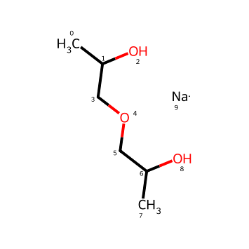 CC(O)COCC(C)O.[Na]